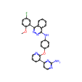 COc1ccc(F)cc1-c1nnc(Nc2ccc(Oc3ncccc3-c3ccnc(N)n3)cc2)c2ccccc12